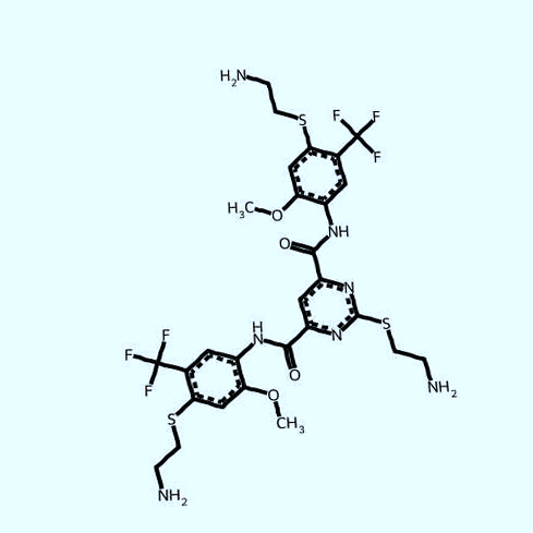 COc1cc(SCCN)c(C(F)(F)F)cc1NC(=O)c1cc(C(=O)Nc2cc(C(F)(F)F)c(SCCN)cc2OC)nc(SCCN)n1